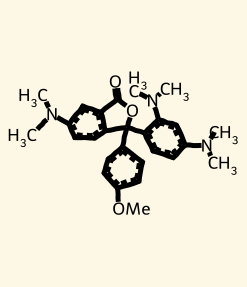 COc1ccc(C2(c3ccc(N(C)C)cc3N(C)C)OC(=O)c3cc(N(C)C)ccc32)cc1